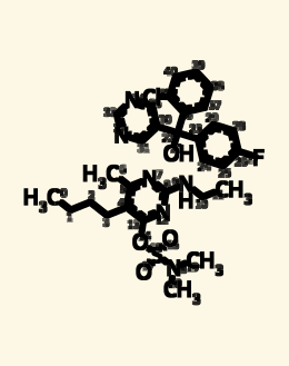 CCCCc1c(C)nc(NCC)nc1OS(=O)(=O)N(C)C.OC(c1ccc(F)cc1)(c1cncnc1)c1ccccc1Cl